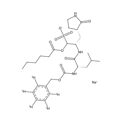 [2H]c1c([2H])c([2H])c(COC(=O)N[C@@H](CC(C)C)C(=O)N[C@@H](C[C@@H]2CCNC2=O)C(OC(=O)CCCCC)S(=O)(=O)[O-])c([2H])c1[2H].[Na+]